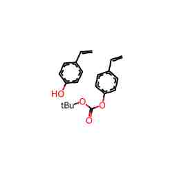 C=Cc1ccc(O)cc1.C=Cc1ccc(OC(=O)OC(C)(C)C)cc1